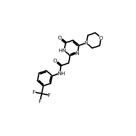 O=C(Cc1nc(N2CCOCC2)cc(=O)[nH]1)Nc1cccc(C(F)(F)F)c1